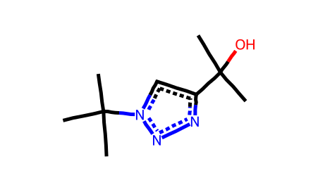 CC(C)(O)c1cn(C(C)(C)C)nn1